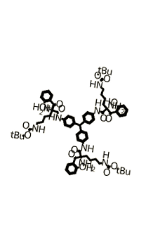 CC(C)(C)OC(=O)NCCCC[C@@](N)(C(=O)Nc1ccc(C(c2ccc(NC(=O)[C@](N)(CCCCNC(=O)OC(C)(C)C)C(=O)c3ccccc3O)cc2)c2ccc(NC(=O)[C@](N)(CCCCNC(=O)OC(C)(C)C)C(=O)c3ccccc3O)cc2)cc1)C(=O)c1ccccc1O